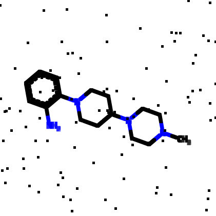 CN1CCN(C2CCN(c3ccccc3N)CC2)CC1